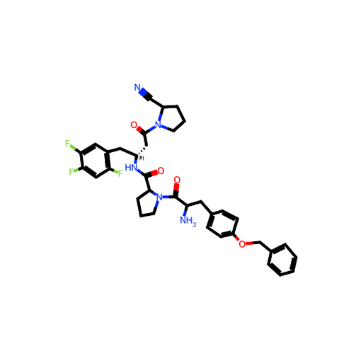 N#CC1CCCN1C(=O)C[C@@H](Cc1cc(F)c(F)cc1F)NC(=O)C1CCCN1C(=O)C(N)Cc1ccc(OCc2ccccc2)cc1